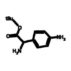 CC(C)(C)OC(=O)C(N)c1ccc(N)cc1